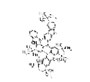 Cc1ccccc1N1c2cc3c(cc2B2c4cc5c(cc4N(c4cc6c(cc4C)C(C)(C)CCC6(C)C)c4cc(C(C)(C)C)cc1c42)C(C)(C)CC5(C)C)oc1ccc(C(C)(C)C)cc13